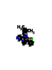 Cc1cc(C)cc(Cn2nnc(-c3ncccc3C(=O)c3ccccc3Cl)c2-c2ccncc2)c1